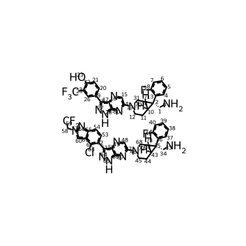 NC[C@]1(c2ccccc2F)[C@@H]2CCN(c3cnc4c(-c5ccc(O)c(C(F)(F)F)c5)n[nH]c4n3)C[C@@H]21.NC[C@]1(c2ccccc2F)[C@@H]2CCN(c3cnc4c(-c5ccc6nn(CC(F)(F)F)cc6c5Cl)n[nH]c4n3)C[C@@H]21